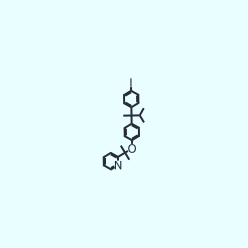 CC(C)C(C)(c1ccc(I)cc1)c1ccc(OC(C)(C)c2ccccn2)cc1